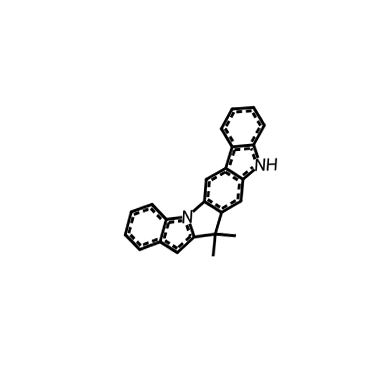 CC1(C)c2cc3[nH]c4ccccc4c3cc2-n2c1cc1ccccc12